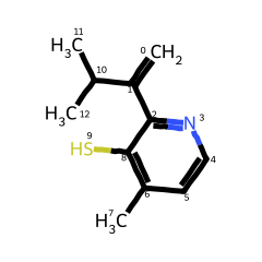 C=C(c1nccc(C)c1S)C(C)C